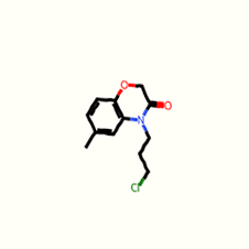 Cc1ccc2c(c1)N(CCCCl)C(=O)CO2